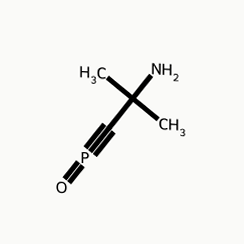 CC(C)(N)C#P=O